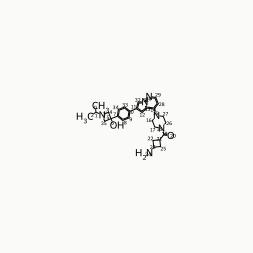 CC(C)N1CC(O)(c2ccc(-c3cc4c(N5CCN(C(=O)C6CC(N)C6)CC5)ccnn4c3)cc2)C1